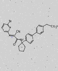 N#C/C(=C\c1cccc(Br)n1)C(=O)NC1(c2ccc(-c3ccc(CC(=O)O)cc3)cc2)CCCC1